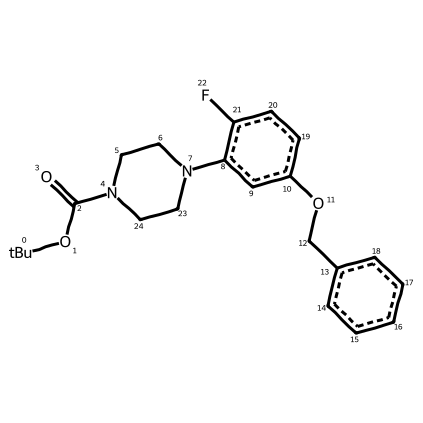 CC(C)(C)OC(=O)N1CCN(c2cc(OCc3ccccc3)ccc2F)CC1